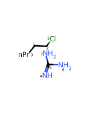 CCCCCCl.N=C(N)N